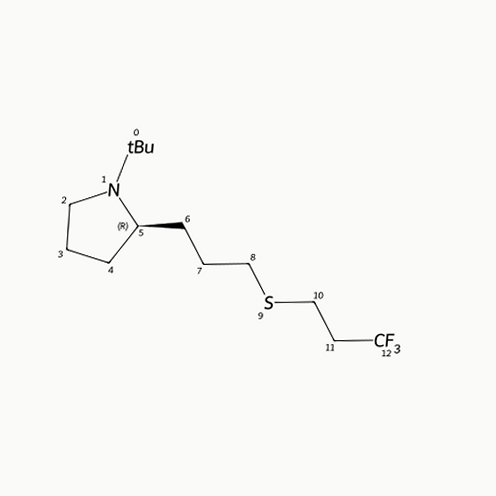 CC(C)(C)N1CCC[C@@H]1CCCSCCC(F)(F)F